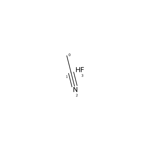 CC#N.F